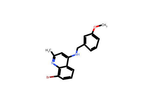 COc1cccc(CNc2cc(C)nc3c(Br)cccc23)c1